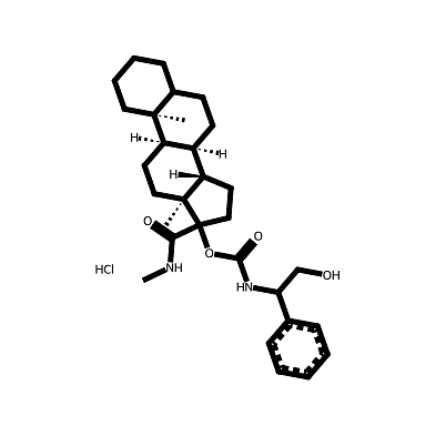 CNC(=O)C1(OC(=O)NC(CO)c2ccccc2)CC[C@H]2[C@@H]3CCC4CCCC[C@]4(C)[C@@H]3CC[C@@]21C.Cl